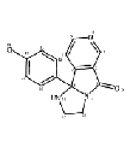 O=C1c2cnccc2C2(c3ccc(Cl)cc3)NCCN12